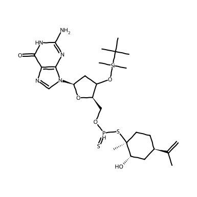 C=C(C)[C@@H]1CC[C@](C)(S[PH](=S)OC[C@H]2O[C@@H](n3cnc4c(=O)[nH]c(N)nc43)CC2O[Si](C)(C)C(C)(C)C)[C@@H](O)C1